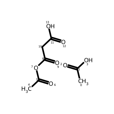 CC(=O)O.CC(=O)OC(=O)CC(=O)O